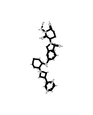 O=C1CCC(N2Cc3cc(OC4CCCCC4N4CC(c5cnccn5)C4)ccc3C2=O)C(=O)N1SF